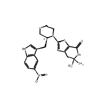 CC1(C)Cc2nc(N3CCOC[C@@H]3Cc3c[nH]c4ccc([N+](=O)[O-])cc34)sc2C(=O)N1